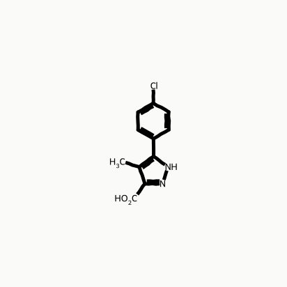 Cc1c(C(=O)O)n[nH]c1-c1ccc(Cl)cc1